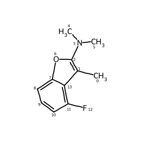 Cc1c(N(C)C)oc2cccc(F)c12